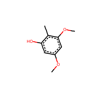 COc1[c]c(O)c(C)c(OC)c1